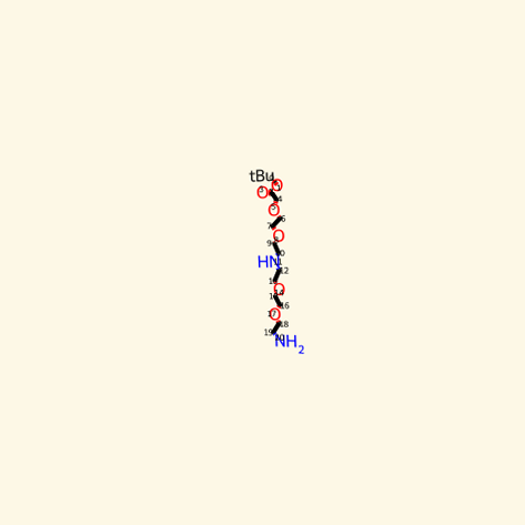 CC(C)(C)OC(=O)COCCOCCNCCOCCOCCN